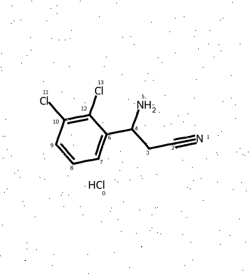 Cl.N#CCC(N)c1cccc(Cl)c1Cl